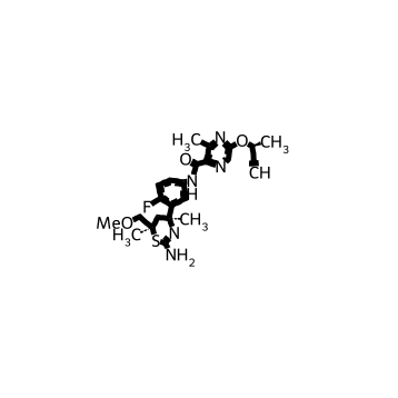 C#C[C@H](C)Oc1cnc(C(=O)Nc2ccc(F)c([C@]3(C)C[C@](C)(COC)SC(N)=N3)c2)c(C)n1